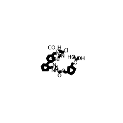 CCCCc1nc(Cl)c(C(=O)O)n1Cc1ccc(-c2ccccc2-c2nnn(C(=O)OCc3cccc(CON(O)O)c3)n2)cc1